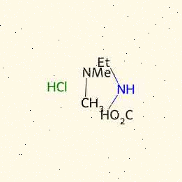 CCNC(=O)O.CNC.Cl